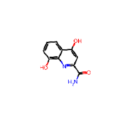 NC(=O)c1cc(O)c2cccc(O)c2n1